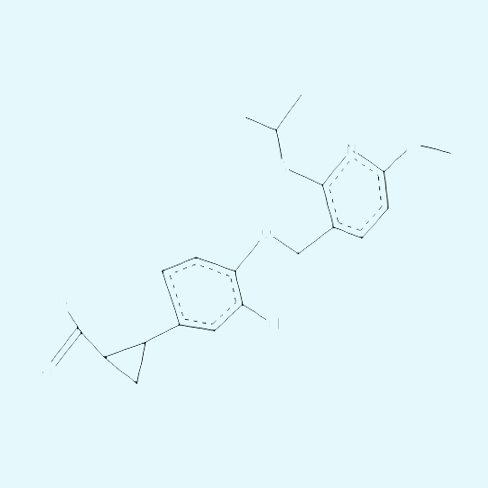 COc1ccc(COc2ccc(C3CC3C(=O)O)cc2Cl)c(SC(C)C)n1